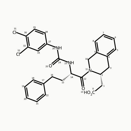 O=C(O)C[C@H]1Cc2ccccc2CN1C(=O)[C@H](CCc1ccccc1)NC(=O)Nc1ccc(Cl)c(Cl)c1